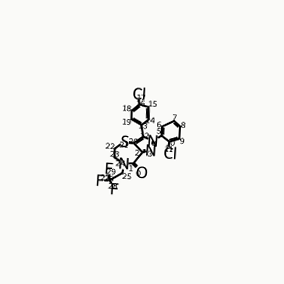 O=C1c2nn(-c3ccccc3Cl)c(-c3ccc(Cl)cc3)c2SCCN1CC(F)(F)F